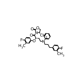 Cc1cc(CCCN(CC[C@@H](Oc2ccc(F)c(C)c2)C(=O)N2C(=O)OCC2C)c2ccccc2)ccc1F